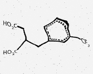 O=C(O)CC(Cc1cccc(C(F)(F)F)c1)C(=O)O